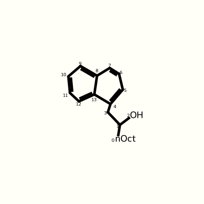 CCCCCCCCC(O)Cc1cccc2ccccc12